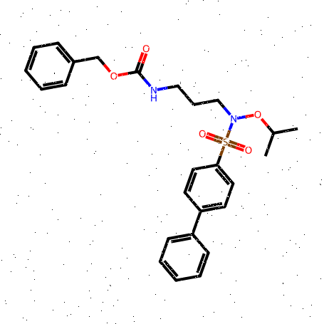 CC(C)ON(CCCNC(=O)OCc1ccccc1)S(=O)(=O)c1ccc(-c2ccccc2)cc1